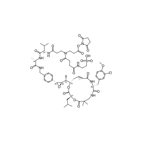 COc1ccc(C[C@H]2NC(=O)/C=C/C[C@@H]([C@H](C)[C@H]3O[C@@H]3c3ccc(CNC(=O)[C@H](C)NC(=O)[C@@H](NC(=O)CCN(CCC(=O)ON4C(=O)CCC4=O)C(=O)CCC(=O)NCCS(=O)(=O)O)C(C)C)cc3)OC(=O)[C@H](CC(C)C)OC(=O)C(C)(C)CNC2=O)cc1Cl